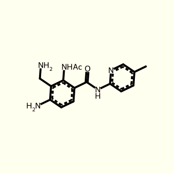 CC(=O)Nc1c(C(=O)Nc2ccc(C)cn2)ccc(N)c1CN